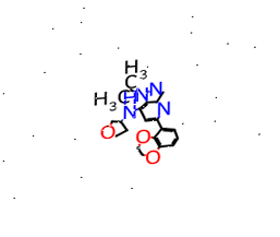 CC(C)n1ncc2nc(-c3cccc4c3OCCO4)cc(N[C@@H]3CCOC3)c21